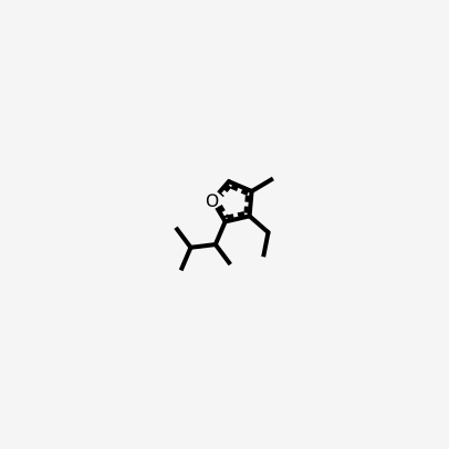 CCc1c(C)coc1C(C)C(C)C